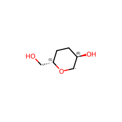 OC[C@@H]1CC[C@@H](O)[CH]O1